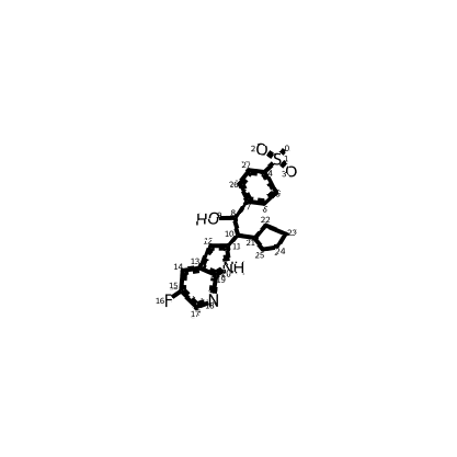 CS(=O)(=O)c1ccc(C(O)C(c2cc3cc(F)cnc3[nH]2)C2CCCC2)cc1